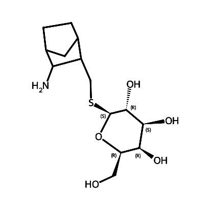 NC1C2CCC(C2)C1CS[C@@H]1O[C@H](CO)[C@H](O)[C@H](O)[C@H]1O